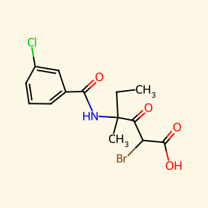 CCC(C)(NC(=O)c1cccc(Cl)c1)C(=O)C(Br)C(=O)O